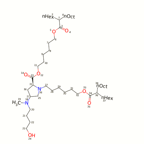 CCCCCCCCC(CCCCCC)C(=O)OCCCCCCOC(=O)[C@@H]1CC(N(C)CCCCO)CN1CCCCCCOC(=O)C(CCCCCC)CCCCCCCC